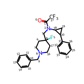 O=C(N(CC1(F)CCN(Cc2ccccc2)CC1)C1CC1c1ccccc1)C(F)(F)F